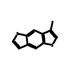 Cc1csc2cc3ccsc3cc12